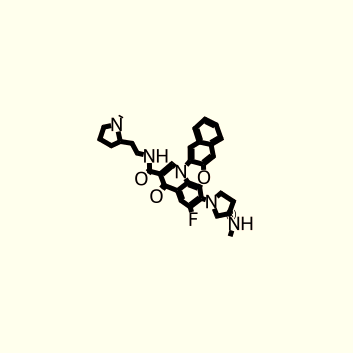 CN[C@@H]1CCN(c2c(F)cc3c(=O)c(C(=O)NCCC4CCCN4C)cn4c3c2Oc2cc3ccccc3cc2-4)C1